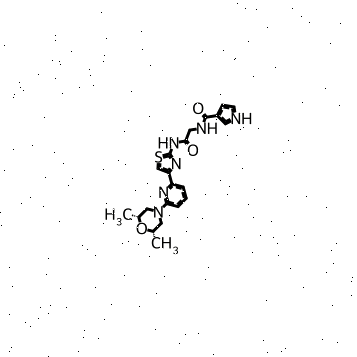 C[C@@H]1CN(c2cccc(-c3csc(NC(=O)CNC(=O)c4cc[nH]c4)n3)n2)C[C@H](C)O1